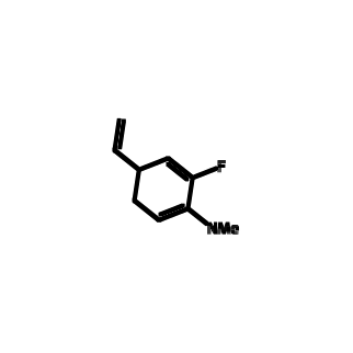 C=CC1C=C(F)C(NC)=CC1